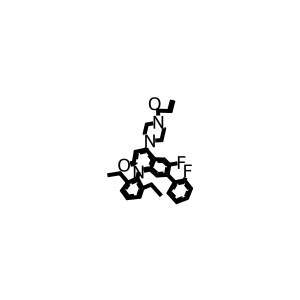 C=CC(=O)N1CCN(c2cc(=O)n(-c3c(CC)cccc3CC)c3cc(-c4ccccc4F)c(F)cc23)CC1